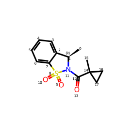 C[C@@H]1c2ccccc2S(=O)(=O)N1C(=O)C1(C)CC1